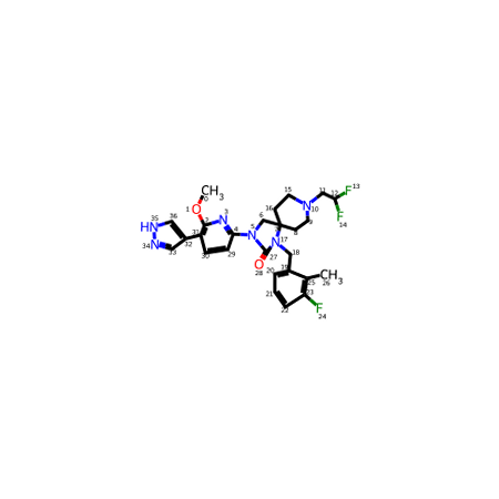 COc1nc(N2CC3(CCN(CC(F)F)CC3)N(Cc3cccc(F)c3C)C2=O)ccc1-c1cn[nH]c1